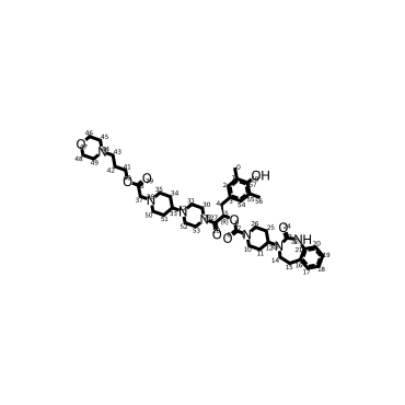 Cc1cc(C[C@@H](OC(=O)N2CCC(N3CCc4ccccc4NC3=O)CC2)C(=O)N2CCN(C3CCN(CC(=O)OCCCN4CCOCC4)CC3)CC2)cc(C)c1O